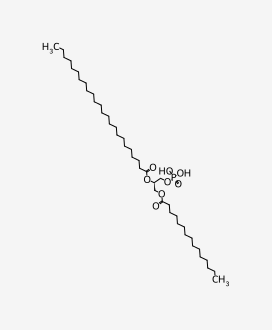 CCCCCCCCCCCCCCCCCCCCCCCC(=O)O[C@H](COC(=O)CCCCCCCCCCCCCC)COP(=O)(O)O